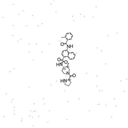 Cc1ccccc1C(=O)Nc1ccc(S(=O)(=O)N[C@H]2CCN(C(=O)[C@H]3CCCN3)C[C@@H]2C)c2ccccc12